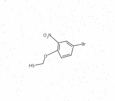 O=[N+]([O-])c1cc(Br)ccc1OCS